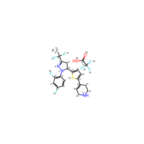 Fc1ccc(N2N=C(C(F)(F)C(F)(F)F)CC2c2ccc(C3=CCNCC3)s2)c(F)c1.O=C(O)C(F)(F)F